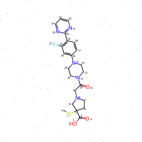 CSC1(C(=O)O)CCN(CC(=O)N2CCN(c3ccc(-c4ncccn4)c(F)c3)CC2)C1